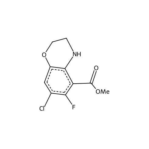 COC(=O)c1c(F)c(Cl)cc2c1NCCO2